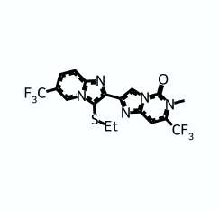 CCSc1c(-c2cn3c(=O)n(C)c(C(F)(F)F)cc3n2)nc2ccc(C(F)(F)F)cn12